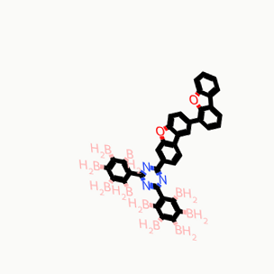 Bc1c(B)c(B)c(-c2nc(-c3ccc4c(c3)oc3ccc(-c5cccc6c5oc5ccccc56)cc34)nc(-c3c(B)c(B)c(B)c(B)c3B)n2)c(B)c1B